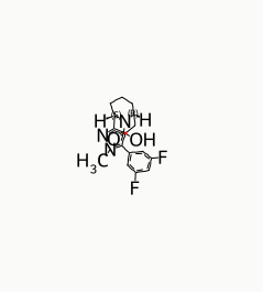 Cn1nc2c(c1-c1cc(F)cc(F)c1)C[C@H]1CCC[C@@H]2N1C(=O)O